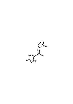 Cc1ccc(C(C)[C@H]2CCCN2C)nc1